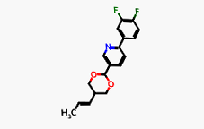 CC=CC1COC(c2ccc(-c3ccc(F)c(F)c3)nc2)OC1